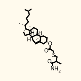 CC(C)CCC[C@@H](C)[C@H]1CC[C@H]2[C@@H]3CC=C4C[C@@H](OC(=O)CSCC(C)C(N)=O)CC[C@]4(C)[C@H]3CC[C@]12C